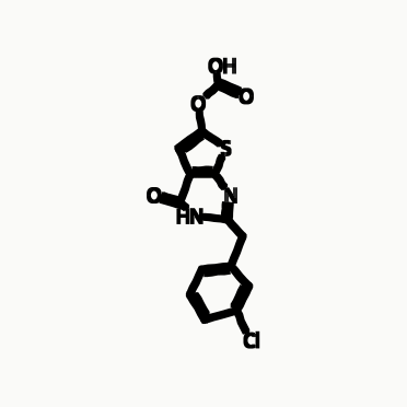 O=C(O)Oc1cc2c(=O)[nH]c(Cc3cccc(Cl)c3)nc2s1